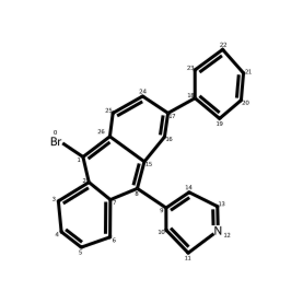 Brc1c2ccccc2c(-c2ccncc2)c2cc(-c3ccccc3)ccc12